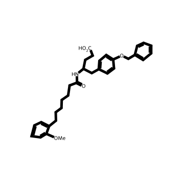 COc1ccccc1CCCCCCC(=O)NC(CCC(=O)O)Cc1ccc(OCc2ccccc2)cc1